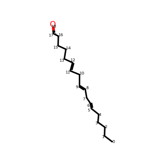 CCCCCC=CCC=CCC=CCCCC[C]=O